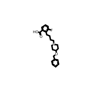 O=C(O)c1cccc(F)c1CCCCN1CCC(OCc2ccccc2)CC1